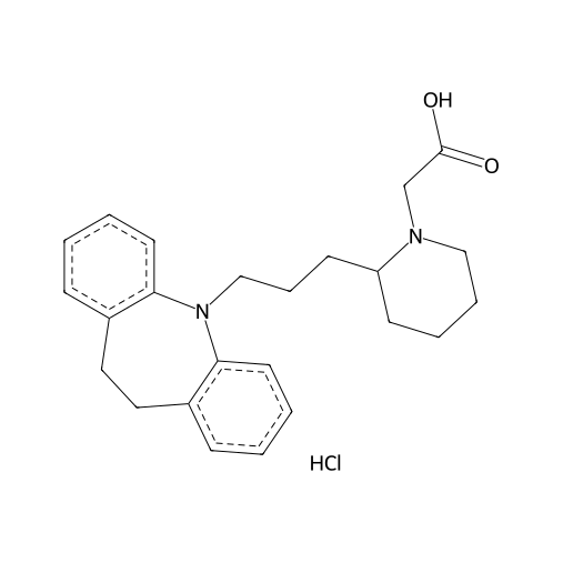 Cl.O=C(O)CN1CCCCC1CCCN1c2ccccc2CCc2ccccc21